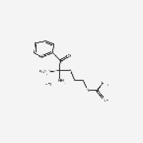 CCOC(=O)C(N)(CCCNC(=N)N)C(=O)c1ccccc1.Cl